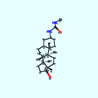 CCNC(=O)NC1CC[C@@]2(C)C(CC[C@@H]3[C@@H]2CC[C@]2(C)C(=O)CC[C@@H]32)C1